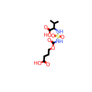 CC(C)C(NS(=O)(=O)NC(=O)OCCCC(=O)O)C(=O)O